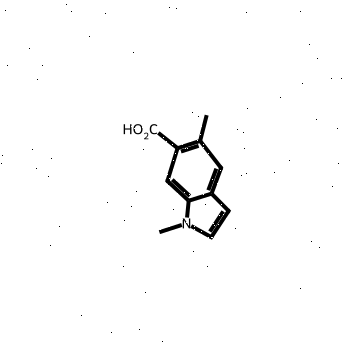 Cc1cc2ccn(C)c2cc1C(=O)O